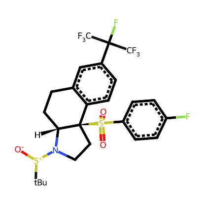 CC(C)(C)[S+]([O-])N1CC[C@@]2(S(=O)(=O)c3ccc(F)cc3)c3ccc(C(F)(C(F)(F)F)C(F)(F)F)cc3CC[C@@H]12